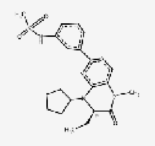 CC[C@@H]1C(=O)N(C)c2cnc(-c3cccc(NS(C)(=O)=O)c3)nc2N1C1CCCC1